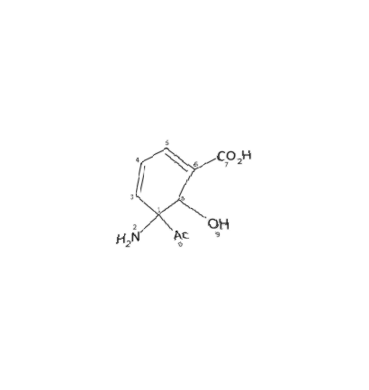 CC(=O)C1(N)C=CC=C(C(=O)O)C1O